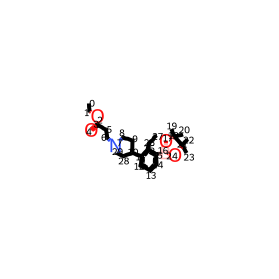 CCOC(=O)CCN1CCC(c2cccc(B3OC(C)(C)C(C)(C)O3)c2CC)CC1